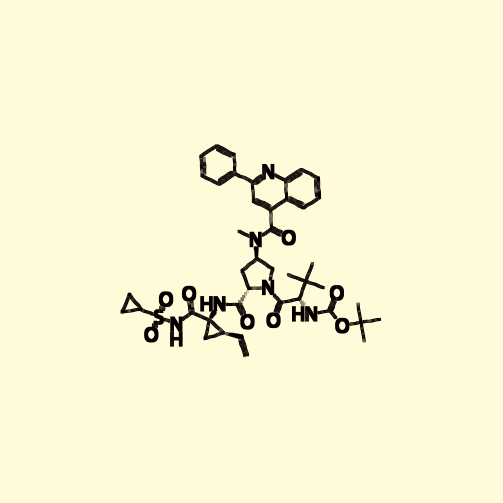 C=C[C@H]1C[C@]1(NC(=O)[C@@H]1C[C@@H](N(C)C(=O)c2cc(-c3ccccc3)nc3ccccc23)CN1C(=O)[C@@H](NC(=O)OC(C)(C)C)C(C)(C)C)C(=O)NS(=O)(=O)C1CC1